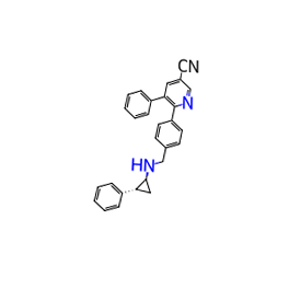 N#Cc1cnc(-c2ccc(CN[C@H]3C[C@@H]3c3ccccc3)cc2)c(-c2ccccc2)c1